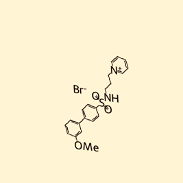 COc1cccc(-c2ccc(S(=O)(=O)NCCC[n+]3ccccc3)cc2)c1.[Br-]